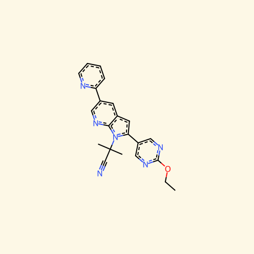 CCOc1ncc(-c2cc3cc(-c4ccccn4)cnc3n2C(C)(C)C#N)cn1